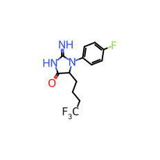 N=C1NC(=O)C(CCCC(F)(F)F)N1c1ccc(F)cc1